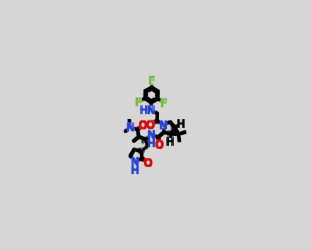 CC(C(=O)N(C)C)[C@H](C[C@@H]1CCNC1=O)NC(=O)C1[C@@H]2[C@H](CN1C(=O)CNc1c(F)cc(F)cc1F)C2(C)C